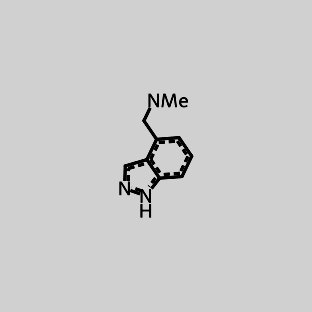 CNCc1cccc2[nH]ncc12